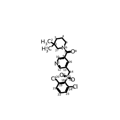 CC1(C)CCCN(C(=O)c2cncc(CS(=O)(=O)c3c(Cl)cccc3Cl)c2)C1